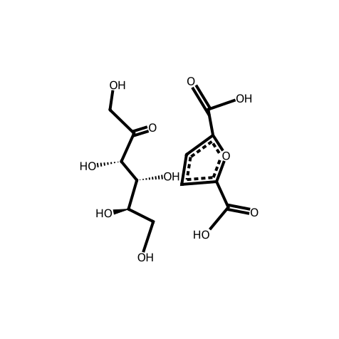 O=C(CO)[C@@H](O)[C@H](O)[C@H](O)CO.O=C(O)c1ccc(C(=O)O)o1